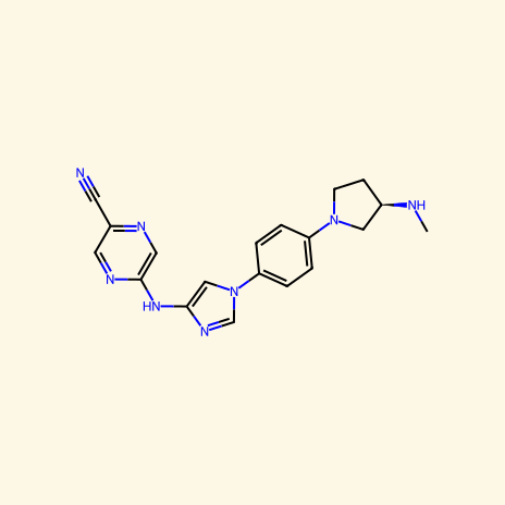 CN[C@@H]1CCN(c2ccc(-n3cnc(Nc4cnc(C#N)cn4)c3)cc2)C1